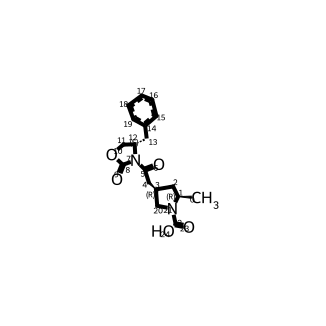 C[C@@H]1C[C@H](CC(=O)N2C(=O)OC[C@@H]2Cc2ccccc2)CN1C(=O)O